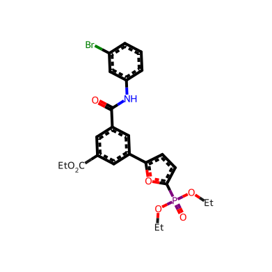 CCOC(=O)c1cc(C(=O)Nc2cccc(Br)c2)cc(-c2ccc(P(=O)(OCC)OCC)o2)c1